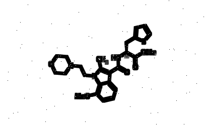 COC(=O)[C@H](Cc1cccs1)NC(=O)c1c(C)n(CCN2CCOCC2)c2c(OC)cccc12